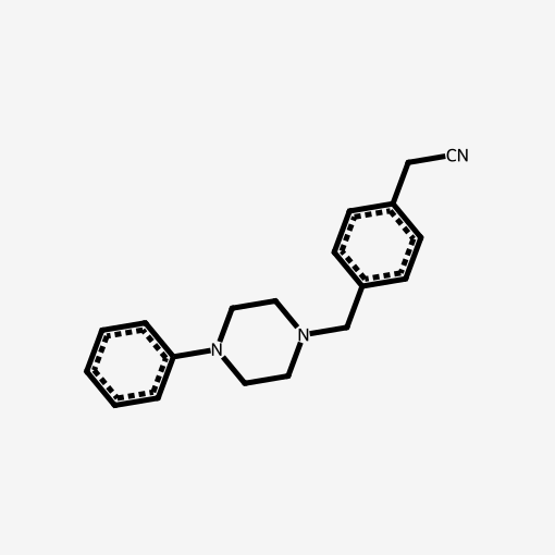 N#CCc1ccc(CN2CCN(c3ccccc3)CC2)cc1